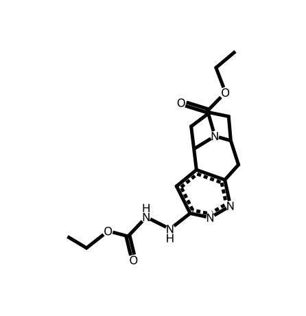 CCOC(=O)NNc1cc2c(nn1)CC1CCCC2N1C(=O)OCC